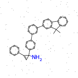 CC1(C)c2ccccc2-c2ccc(-c3cccc(-c4ccc(C5(N)C=C5c5ccccc5)cc4)c3)cc21